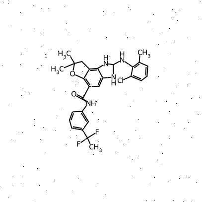 Cc1cccc(Cl)c1NC1Nc2cc(C(=O)Nc3cccc(C(C)(F)F)c3)c3c(c2N1)CC(C)(C)O3